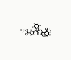 COC(=O)[C@@H]1CC[C@H](n2c(=O)n(Cc3csc4cccc(C)c34)c3ccccc32)C1